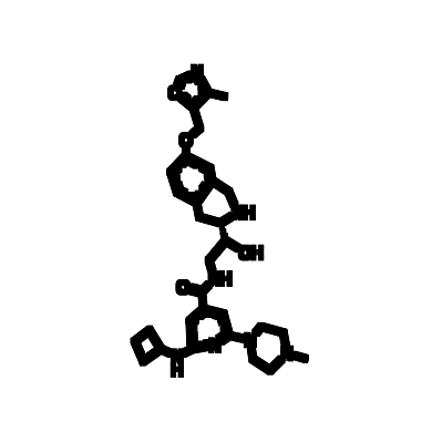 Cc1ncoc1COc1ccc2c(c1)CN[C@H](C(O)CNC(=O)c1cc(NC3CCC3)nc(N3CCN(C)CC3)c1)C2